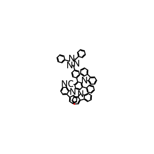 N#Cc1c(-c2ccc(-c3nc(-c4ccccc4)nc(-c4ccccc4)n3)cc2)c(-n2c3ccccc3c3ccccc32)c(-c2ccccc2)c(-n2c3ccccc3c3ccccc32)c1-n1c2ccccc2c2ccccc21